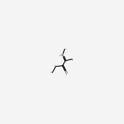 CCC(=O)C(C)=NC